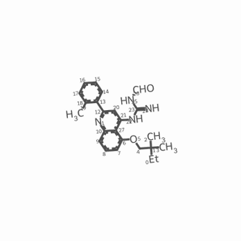 CCC(C)(C)COc1cccc2nc(-c3ccccc3C)cc(NC(=N)NC=O)c12